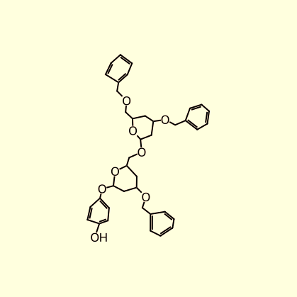 Oc1ccc(OC2CC(OCc3ccccc3)CC(COC3CC(OCc4ccccc4)CC(COCc4ccccc4)O3)O2)cc1